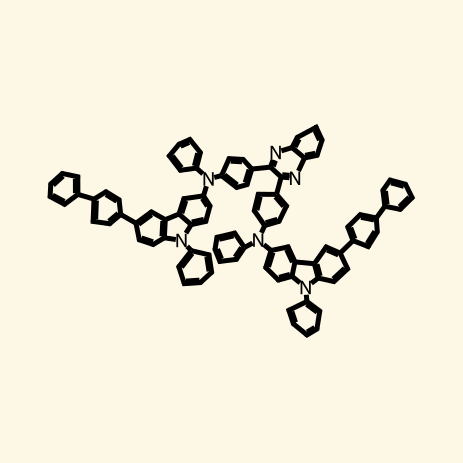 c1ccc(-c2ccc(-c3ccc4c(c3)c3cc(N(c5ccccc5)c5ccc(-c6nc7ccccc7nc6-c6ccc(N(c7ccccc7)c7ccc8c(c7)c7cc(-c9ccc(-c%10ccccc%10)cc9)ccc7n8-c7ccccc7)cc6)cc5)ccc3n4-c3ccccc3)cc2)cc1